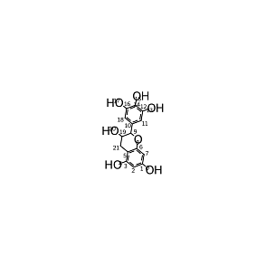 Oc1cc(O)c2c(c1)OC(c1cc(O)c(O)c(O)c1)C(O)C2